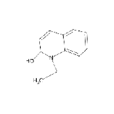 CCN1c2ccccc2C=CC1O